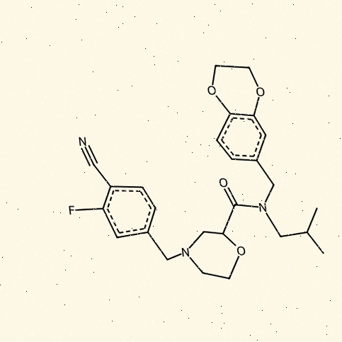 CC(C)CN(Cc1ccc2c(c1)OCCO2)C(=O)C1CN(Cc2ccc(C#N)c(F)c2)CCO1